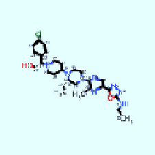 CCNc1nnc(-c2cnc(N3CCN(C4CCN([C@H](CO)c5ccc(Cl)cc5)CC4)[C@@H](CC)C3)c(C)n2)o1